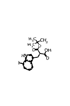 CC(C)(C)OC(=O)[C@H](Cc1c[nH]c2c(I)cccc12)C(=O)O